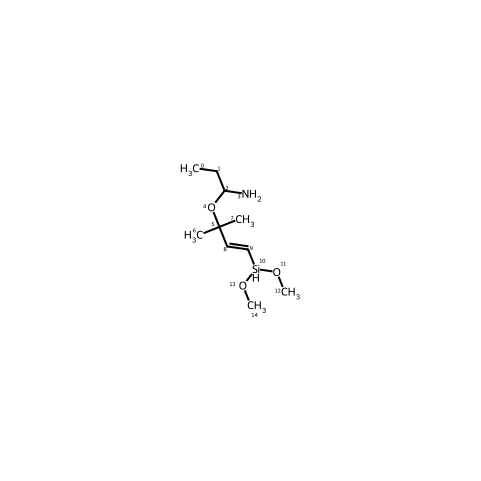 CCC(N)OC(C)(C)C=C[SiH](OC)OC